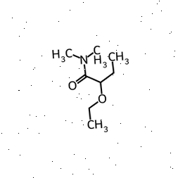 CCOC(CC)C(=O)N(C)C